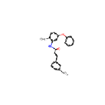 O=Cc1ccc(Oc2ccccc2)cc1NC(=O)/C=C/c1cccc([N+](=O)[O-])c1